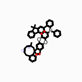 C/C1=C/C=C\Cc2ccccc2C2(C1)c1ccccc1-c1cc3c(cc12)Oc1ccc(N(c2ccccc2)c2ccccc2-c2ccc4c(c2)C(C)(C)c2ccccc2-4)cc1O3